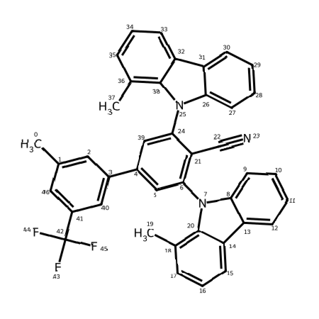 Cc1cc(-c2cc(-n3c4ccccc4c4cccc(C)c43)c(C#N)c(-n3c4ccccc4c4cccc(C)c43)c2)cc(C(F)(F)F)c1